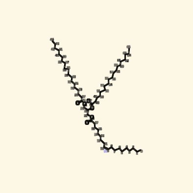 CCCCCCCCC/C=C\CCCCCCCC(=O)OC[C@@H](COC(=O)CCCCCCCCCCCCCCCCCC)OC(=O)CCCCCCCCCCCCCCCCCC